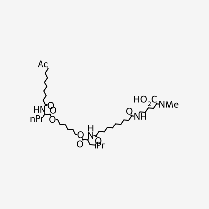 CCCC(NC(=O)CCCCCCCCC(C)=O)C(=O)OCCCCCCOC(=O)C(CC(C)C)NC(=O)CCCCCCCCC(=O)NCCCCC(NC)C(=O)O